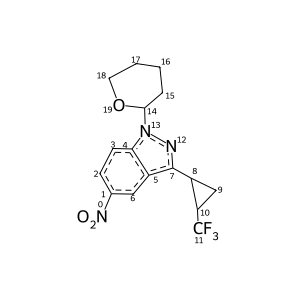 O=[N+]([O-])c1ccc2c(c1)c(C1CC1C(F)(F)F)nn2C1CCCCO1